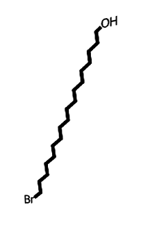 OCCCCCCCCCCCCCCCCCCBr